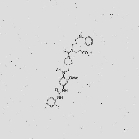 COc1cc(NC(=O)Nc2ccccc2C)ccc1N(CC1CCN(C(=O)N(CCCN(C)c2ccccc2)CCC(=O)O)CC1)C(C)=O